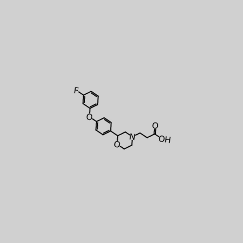 O=C(O)CCN1CCOC(c2ccc(Oc3cccc(F)c3)cc2)C1